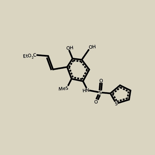 CCOC(=O)/C=C/c1c(O)c(O)cc(NS(=O)(=O)c2cccs2)c1SC